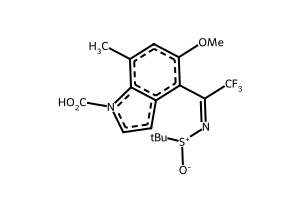 COc1cc(C)c2c(ccn2C(=O)O)c1/C(=N\[S+]([O-])C(C)(C)C)C(F)(F)F